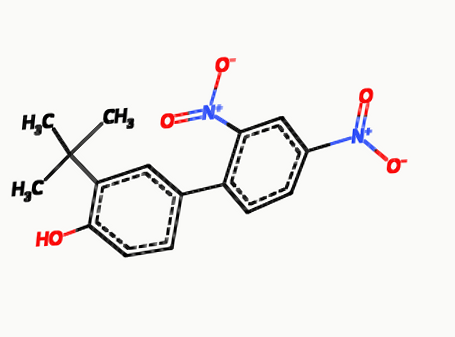 CC(C)(C)c1cc(-c2ccc([N+](=O)[O-])cc2[N+](=O)[O-])ccc1O